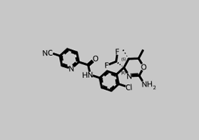 CC1OC(N)=N[C@](c2cc(NC(=O)c3ccc(C#N)cn3)ccc2Cl)(C(F)F)[C@@H]1C